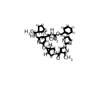 Cc1nn(-c2ncccn2)cc1C(=O)N1C[C@@H]2C(Oc3cc(C(C)(C)NC(=O)OCc4ccccc4)cc(NC(C)C4CCCC4)n3)[C@@H]2C1